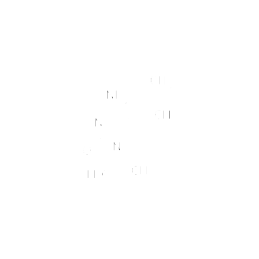 CCC(C)c1cn(C(C)C)c(=O)nc1N